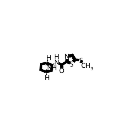 CSc1cnc(C(=O)N[C@@H]2C[C@H]3CC[C@@H]2N3)s1